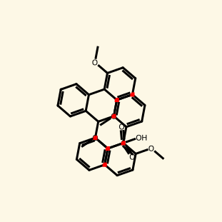 COc1cccc(OC)c1-c1ccccc1C(c1ccccc1-c1c(OC)cccc1OC)c1ccccc1S(=O)(=O)O